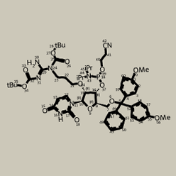 COc1ccc(C(OC[C@H]2O[C@@H](n3ccc(=O)[nH]c3=O)[C@H](OCCCN(C(=O)OC(C)(C)C)C(N)=NC(=O)OC(C)(C)C)[C@@H]2OP(OCCC#N)N(C(C)C)C(C)C)(c2ccccc2)c2ccc(OC)cc2)cc1